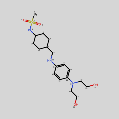 CC(C)S(=O)(=O)NC1CCC(CNc2ccc(N(CCO)CCO)cc2)CC1